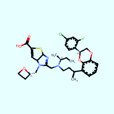 CC[C@H](C)N(CCC(C)c1cccc2c1O[C@@H](c1ccc(Cl)cc1F)CO2)CC1=NC2SC(C(=O)O)=CC2N1C[C@@H]1CCO1